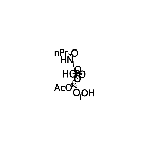 CCCC(=O)NCCOP(=O)(O)OC[C@@H](COC(C)O)OC(C)=O